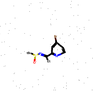 CC/C(=N\[S+]([O-])C(C)(C)C)c1cc(Br)ccn1